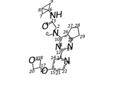 CN(CC(=O)NC12CC1C2)c1nc(-c2cc(OC3COC3)ccn2)nc2c1CCC2